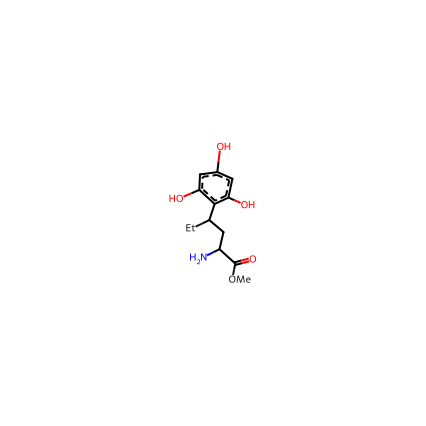 CCC(CC(N)C(=O)OC)c1c(O)cc(O)cc1O